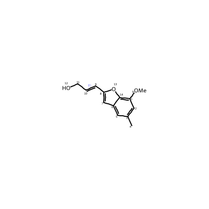 COc1cc(C)cc2cc(/C=C/CO)oc12